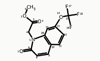 COC(=O)Cn1c(=O)ccc2ccc(OC(F)(F)F)cc21